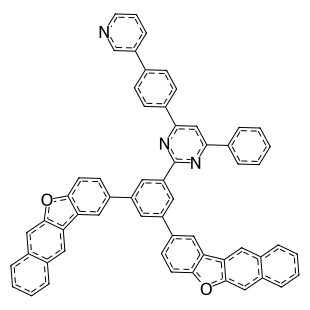 c1ccc(-c2cc(-c3ccc(-c4cccnc4)cc3)nc(-c3cc(-c4ccc5oc6cc7ccccc7cc6c5c4)cc(-c4ccc5oc6cc7ccccc7cc6c5c4)c3)n2)cc1